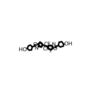 OC1CCC(c2nc3cc(C(c4ccc5oc(C6CCC(O)CC6)nc5c4)(C(F)(F)F)C(F)(F)F)ccc3o2)CC1